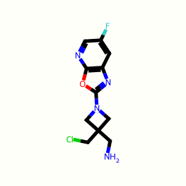 NCC1(CCl)CN(c2nc3cc(F)cnc3o2)C1